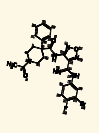 CC(=O)N1CCC(C(=O)Nc2nonc2C(=N)Nc2ccc(F)c(Br)c2)(c2ccccc2)CC1